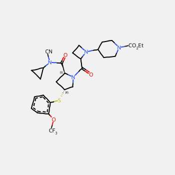 CCOC(=O)N1CCC(N2CCC2C(=O)N2C[C@H](Sc3ccccc3OC(F)(F)F)C[C@H]2C(=O)N(C#N)C2CC2)CC1